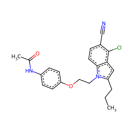 CCCc1cc2c(Cl)c(C#N)ccc2n1CCOc1ccc(NC(C)=O)cc1